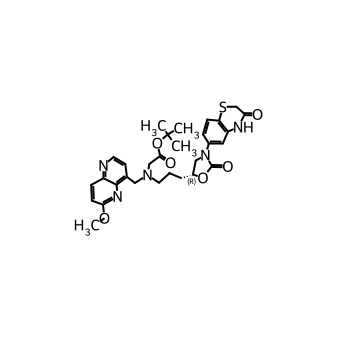 COc1ccc2nccc(CN(CCC[C@@H]3CN(c4ccc5c(c4)NC(=O)CS5)C(=O)O3)CC(=O)OC(C)(C)C)c2n1